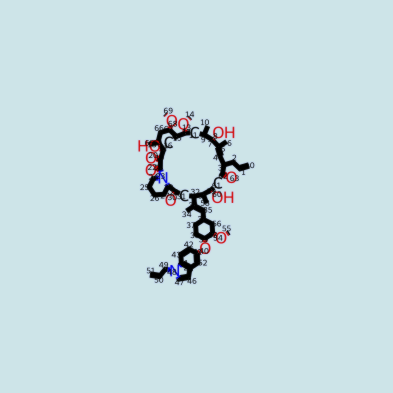 C=CCC1/C=C(\C)C(O)C(C)CC(OC)C2CC(O)(C(=O)C(=O)N3CCCCC3C(=O)CC(C(C)=CC3CCC(Oc4ccc5c(ccn5CC=C)c4)C(OC)C3)C(C)C(O)CC1=O)C(C)CC2OC